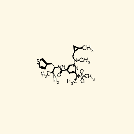 CC1CC1CN(C)c1cc(C(=O)N[C@@H](Cc2ccsc2)[C@H](C)N)cc(N(C)S(C)(=O)=O)n1